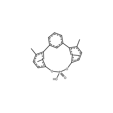 Cc1ccc2c(C)c1-c1cccc(c1)-c1c(C)ccc(c1C)OP(=O)(O)O2